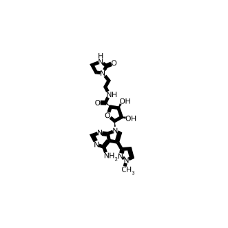 Cn1ccc(-c2cn([C@@H]3O[C@H](C(=O)NCCN4CCNC4=O)[C@@H](O)[C@H]3O)c3ncnc(N)c23)n1